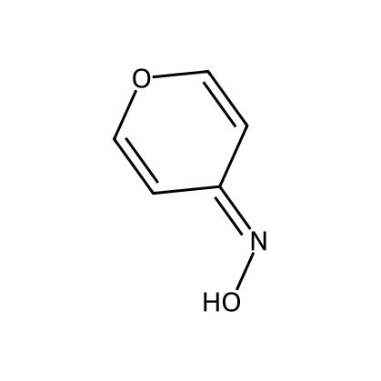 ON=c1ccocc1